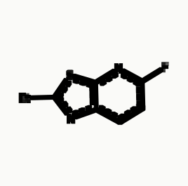 CCc1nc2ccc(F)nc2s1